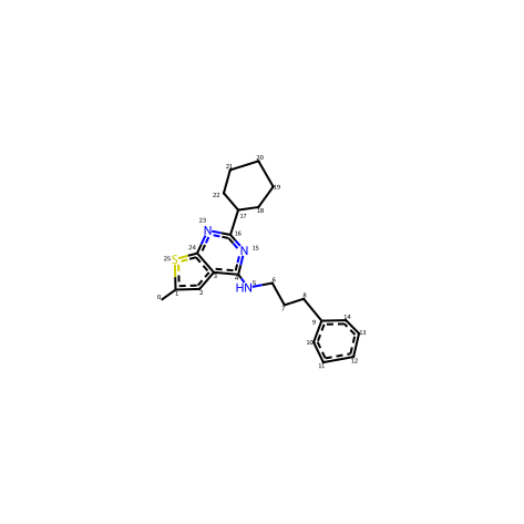 Cc1cc2c(NCCCc3ccccc3)nc(C3CCCCC3)nc2s1